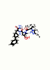 Cc1nnn(C(C(=O)N2CC(O)CC2C(=O)NC(Cc2ccc(-c3ccccc3)cc2)C(N)=O)C(C)C)c1C